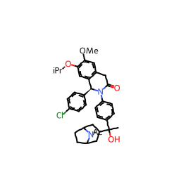 COc1cc2c(cc1OC(C)C)[C@H](c1ccc(Cl)cc1)N(c1ccc(C(C)(O)C3CC4CCC(C3)N4C(C)=O)cc1)C(=O)C2